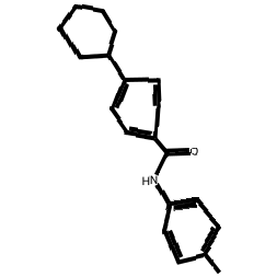 Cc1ccc(NC(=O)c2ccc(C3CCCCC3)cc2)cc1